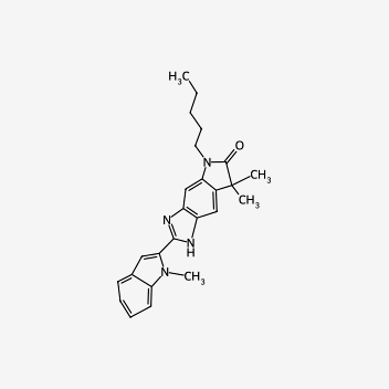 CCCCCN1C(=O)C(C)(C)c2cc3[nH]c(-c4cc5ccccc5n4C)nc3cc21